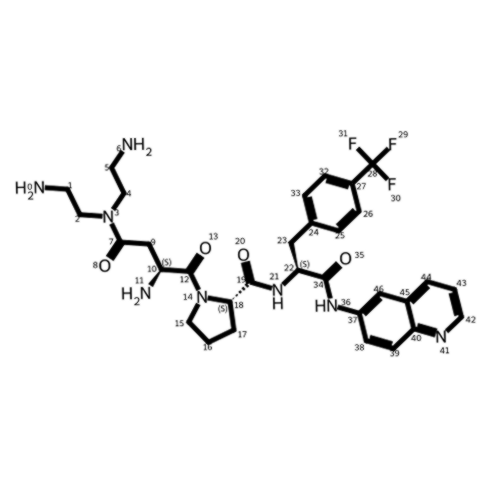 NCCN(CCN)C(=O)C[C@H](N)C(=O)N1CCC[C@H]1C(=O)N[C@@H](Cc1ccc(C(F)(F)F)cc1)C(=O)Nc1ccc2ncccc2c1